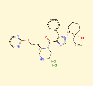 COC[C@]1(O)CCCC[C@H]1n1cnc(C(=O)N2CCNC[C@H]2CCOc2ncccn2)c1-c1ccccc1.Cl.Cl